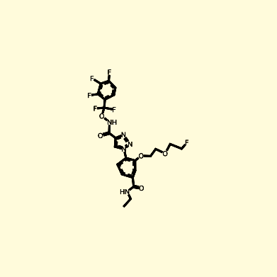 CCNC(=O)c1ccc(-n2cc(C(=O)NOC(F)(F)c3ccc(F)c(F)c3F)nn2)c(OCCOCCF)c1